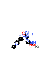 CC(C)(C)OC(=O)N[C@@H]1CCCN(c2cnc(C(N)=O)c(Nc3ccc(C4CCN(C5CCCC5)CC4)cc3)n2)C1